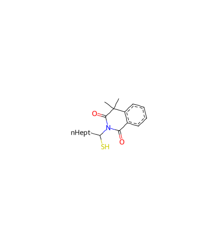 CCCCCCCC(S)N1C(=O)c2ccccc2C(C)(C)C1=O